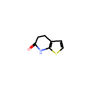 O=C1CCc2ccsc2N1